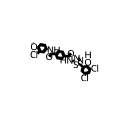 COc1ccc(NC(=O)c2ccc(C(=O)Nc3nnc(-c4cc(Cl)cc(Cl)c4O)s3)cc2)cc1Cl